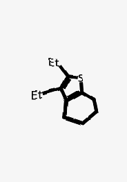 CCc1sc2c(c1CC)CCCC2